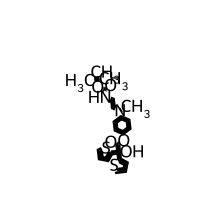 CN(CCNC(=O)OC(C)(C)C)[C@H]1CC[C@H](OC(=O)C(O)(c2cccs2)c2cccs2)CC1